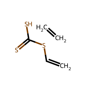 C=C.C=CSC(=S)S